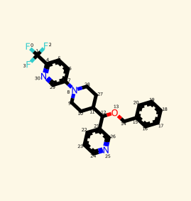 FC(F)(F)c1ccc(N2CCC(C(OCc3ccccc3)c3cccnc3)CC2)cn1